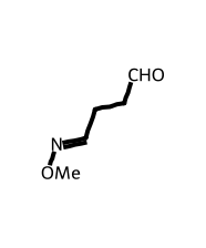 CON=CCCC=O